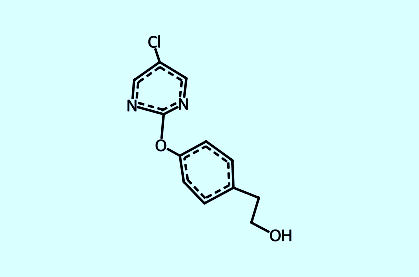 OCCc1ccc(Oc2ncc(Cl)cn2)cc1